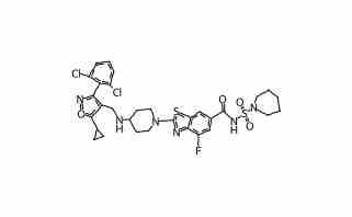 O=C(NS(=O)(=O)N1CCCCC1)c1cc(F)c2nc(N3CCC(NCc4c(-c5c(Cl)cccc5Cl)noc4C4CC4)CC3)sc2c1